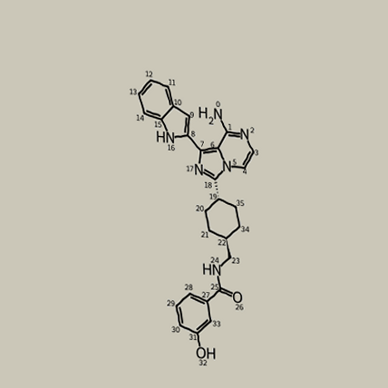 Nc1nccn2c1c(-c1cc3ccccc3[nH]1)nc2[C@H]1CC[C@H](CNC(=O)c2cccc(O)c2)CC1